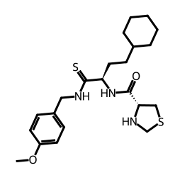 COc1ccc(CNC(=S)[C@@H](CCC2CCCCC2)NC(=O)[C@@H]2CSCN2)cc1